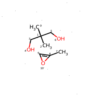 CC(C)(CO)CO.CC1=CO1